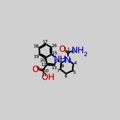 NC(=O)N1CCCCC1.O=C(O)c1c[nH]c2ccccc12